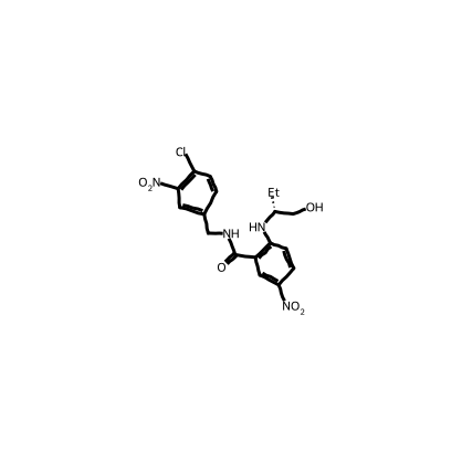 CC[C@H](CO)Nc1ccc([N+](=O)[O-])cc1C(=O)NCc1ccc(Cl)c([N+](=O)[O-])c1